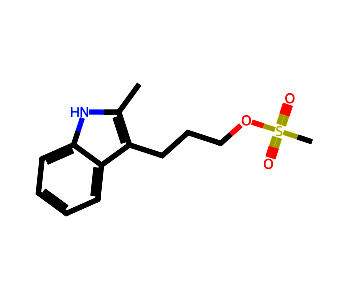 Cc1[nH]c2ccccc2c1CCCOS(C)(=O)=O